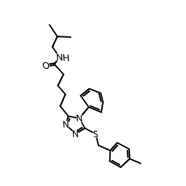 Cc1ccc(CSc2nnc(CCCCC(=O)NCC(C)C)n2-c2ccccc2)cc1